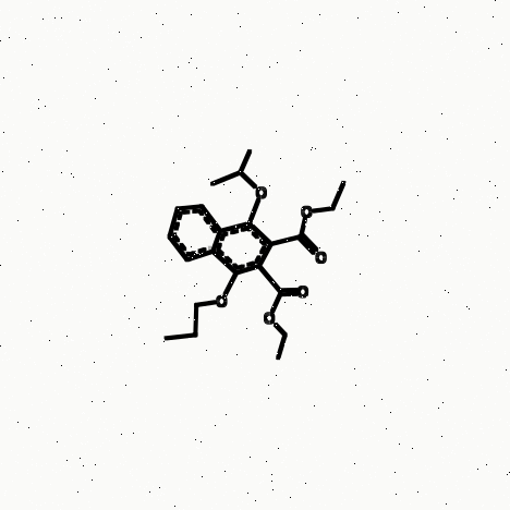 CCCOc1c(C(=O)OCC)c(C(=O)OCC)c(OC(C)C)c2ccccc12